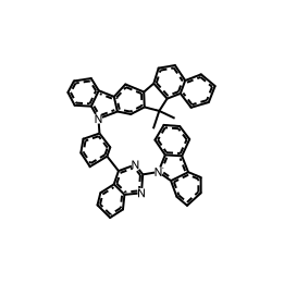 CC1(C)c2cc3c(cc2-c2ccc4ccccc4c21)c1ccccc1n3-c1cccc(-c2nc(-n3c4ccccc4c4ccccc43)nc3ccccc23)c1